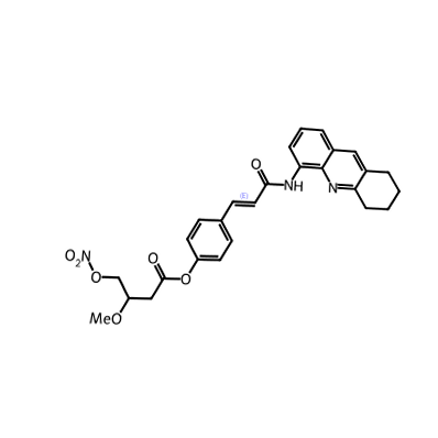 COC(CO[N+](=O)[O-])CC(=O)Oc1ccc(/C=C/C(=O)Nc2cccc3cc4c(nc23)CCCC4)cc1